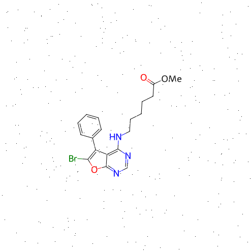 COC(=O)CCCCCNc1ncnc2oc(Br)c(-c3ccccc3)c12